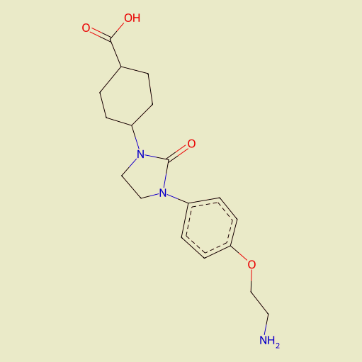 NCCOc1ccc(N2CCN(C3CCC(C(=O)O)CC3)C2=O)cc1